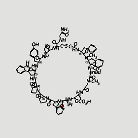 CCCC[C@H]1C(=O)N(C)CC(=O)N[C@@H](CC(=O)O)C(=O)N[C@@H](C(C)C)C(=O)N(C)[C@@H](Cc2ccccc2)C(=O)N2CCC[C@H]2C(=O)N2CCC[C@@H]2C(=O)N[C@@H](Cc2c[nH]c3ccccc23)C(=O)N[C@@H](Cc2ccc(O)cc2)C(=O)N[C@@H](CC(C)C)C(=O)N[C@H](C(=O)NCC(N)=O)CSCC(=O)N[C@@H](Cc2ccccc2)C(=O)N(C)[C@@H](Cc2ccccc2)C(=O)N1C